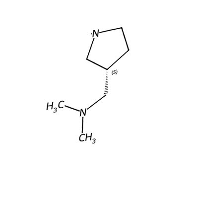 CN(C)C[C@H]1CC[N]C1